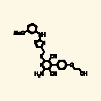 COc1cccc(Nc2nc(CSc3nc(N)c(C#N)c(-c4ccc(OCCO)cc4)c3C#N)cs2)c1